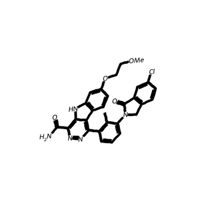 COCCOc1ccc2c(c1)[nH]c1c(C(N)=O)nnc(-c3cccc(N4Cc5ccc(Cl)cc5C4=O)c3C)c12